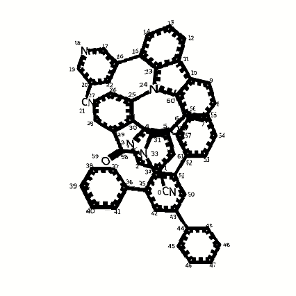 N#Cc1cncc(-c2cccc3c4cccc(-c5cncc(C#N)c5)c4n(-c4cccc5c4C(=O)N(c4c(-c6ccccc6)cc(-c6ccccc6)cc4-c4ccccc4)C5=O)c23)c1